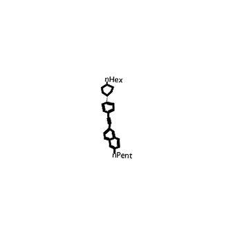 CCCCCC[C@H]1CC[C@H](c2ccc(C#Cc3ccc4cc(CCCCC)ccc4c3)cc2)CC1